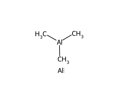 [Al].[CH3][Al]([CH3])[CH3]